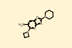 Nc1cc2oc(N3CCCCC3)nc2nc1N1CCC1